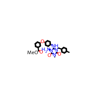 COC(=O)c1cccc(Oc2ccc(NC3N(N)C(=O)N(C)C(=O)N3Cc3ccc(C)cc3)cc2)c1